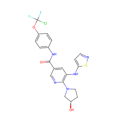 O=C(Nc1ccc(OC(F)(F)Cl)cc1)c1cnc(N2CC[C@@H](O)C2)c(Nc2ccns2)c1